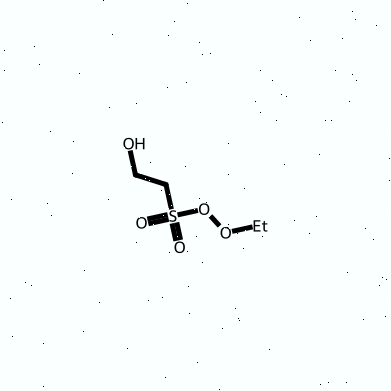 CCOOS(=O)(=O)CCO